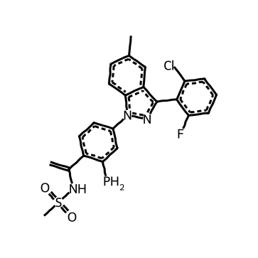 C=C(NS(C)(=O)=O)c1ccc(-n2nc(-c3c(F)cccc3Cl)c3cc(C)ccc32)cc1P